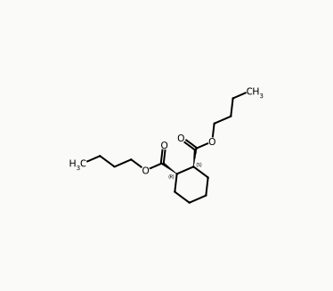 CCCCOC(=O)[C@H]1CCCC[C@H]1C(=O)OCCCC